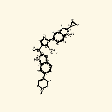 CN1CC=C(c2ccc3cc(C(=O)c4cnn(-c5ccc6[nH]c(C7CC7)nc6c5)c4N)[nH]c3c2)CC1